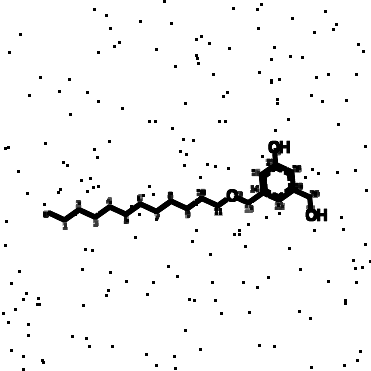 CCCCCCCCCCCCOCc1cc(O)cc(CO)c1